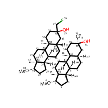 CO[C@H]1CC[C@H]2[C@@H]3CC[C@@H]4C[C@@](O)(C(F)(F)F)CC[C@]4(C)[C@H]3CC[C@]12C.CO[C@H]1CC[C@H]2[C@@H]3CC[C@H]4C[C@@](O)(CF)CC[C@]4(C)[C@H]3CC[C@]12C